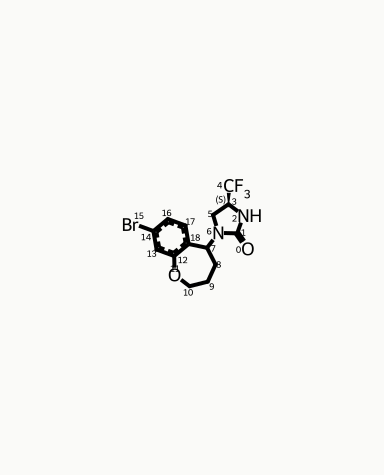 O=C1N[C@H](C(F)(F)F)CN1C1CCCOc2cc(Br)ccc21